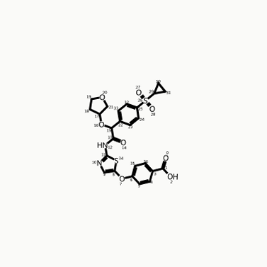 O=C(O)c1ccc(Oc2cnc(NC(=O)C(OC3CCOC3)c3ccc(S(=O)(=O)C4CC4)cc3)s2)cc1